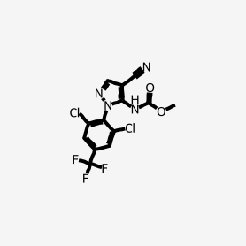 COC(=O)Nc1c(C#N)cnn1-c1c(Cl)cc(C(F)(F)F)cc1Cl